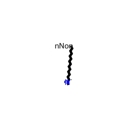 CCCCCCCCCCCCCCCCCCCCC[CH]N(C)C